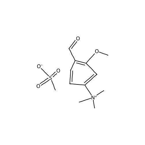 COc1cc([N+](C)(C)C)ccc1C=O.CS(=O)(=O)[O-]